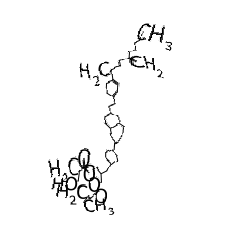 C=C(CCCCC)CCC(=C)C1=CC=C(CCC2CCC3CC(C4CCC(CC(COC(=O)C(=C)C)COC(=O)C(=C)CO)CC4)CCC3C2)CC1